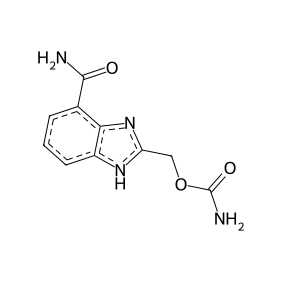 NC(=O)OCc1nc2c(C(N)=O)cccc2[nH]1